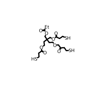 CCC(=O)OCC(CCOCC(=O)CCS)(CCOC(=O)CCS)COC(=O)CCS